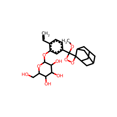 C=Cc1ccc(C2(OC)OOC23C2CC4CC(C2)CC3C4)cc1OC1OC(CO)C(O)C(O)C1O